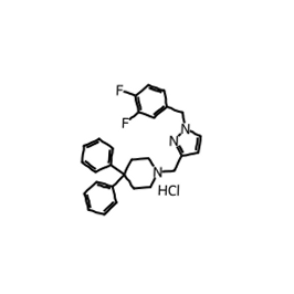 Cl.Fc1ccc(Cn2ccc(CN3CCC(c4ccccc4)(c4ccccc4)CC3)n2)cc1F